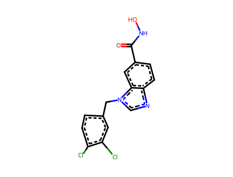 O=C(NO)c1ccc2ncn(Cc3ccc(Cl)c(Cl)c3)c2c1